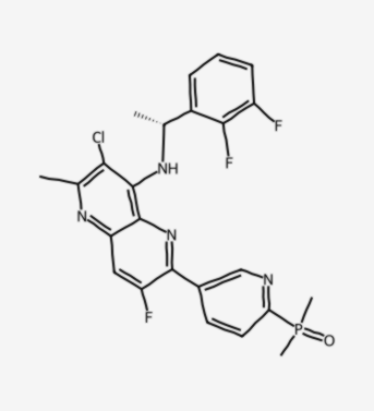 Cc1nc2cc(F)c(-c3ccc(P(C)(C)=O)nc3)nc2c(N[C@H](C)c2cccc(F)c2F)c1Cl